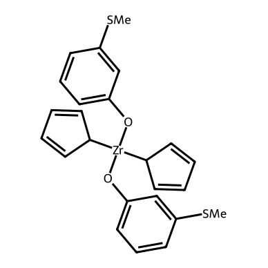 CSc1cccc([O][Zr]([O]c2cccc(SC)c2)([CH]2C=CC=C2)[CH]2C=CC=C2)c1